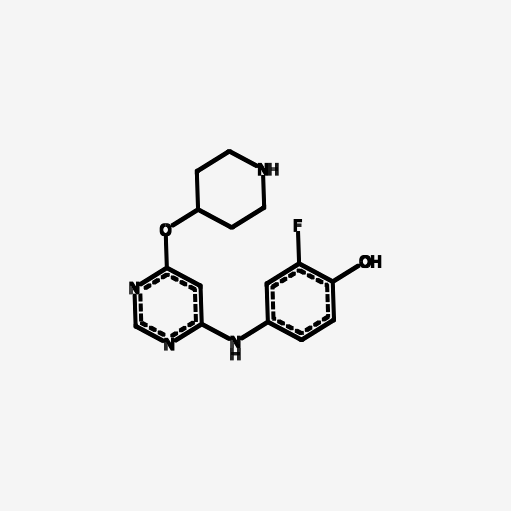 Oc1ccc(Nc2cc(OC3CCNCC3)ncn2)cc1F